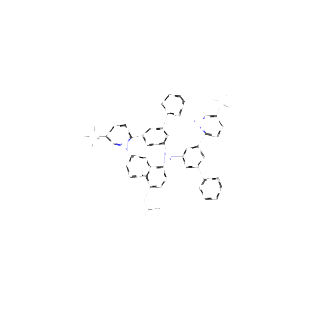 CC(C)Cc1ccc(N(c2cc(-c3ccccc3)cc(-c3ccc([Si](C)(C)C)cn3)c2)c2cc(-c3ccccc3)cc(-c3ccc([Si](C)(C)C)cn3)c2)c2ccccc12